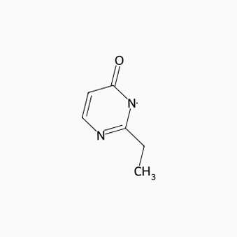 CCC1=NC=CC(=O)[N]1